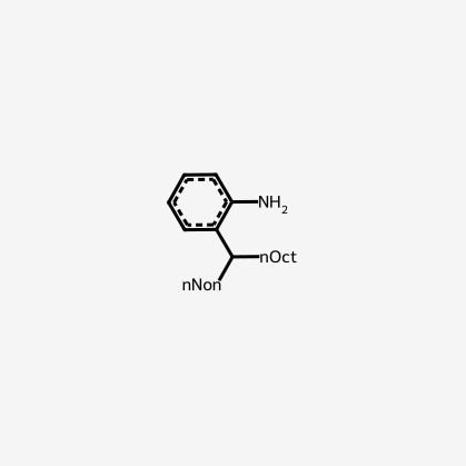 CCCCCCCCCC(CCCCCCCC)c1ccccc1N